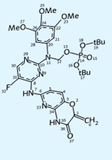 C=C1Oc2ccc(Nc3nc(N(COP(=O)(OC(C)(C)C)OC(C)(C)C)c4cc(OC)c(OC)c(OC)c4)ncc3F)nc2NC1=O